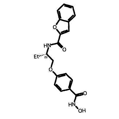 CC[C@@H](COc1ccc(C(=O)NO)cc1)NC(=O)c1cc2ccccc2o1